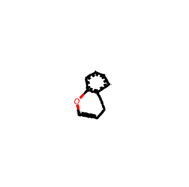 [c]1c[c]c2c(c1)OC=CC2